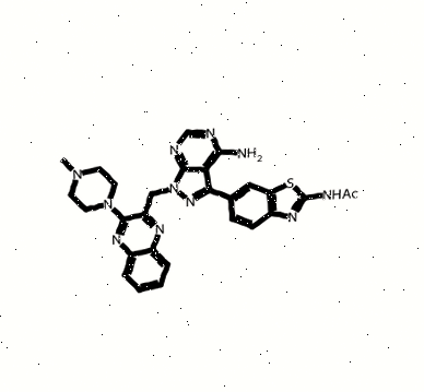 CC(=O)Nc1nc2ccc(-c3nn(Cc4nc5ccccc5nc4N4CCN(C)CC4)c4ncnc(N)c34)cc2s1